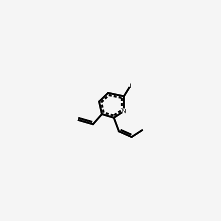 C=Cc1ccc(I)nc1/C=C\C